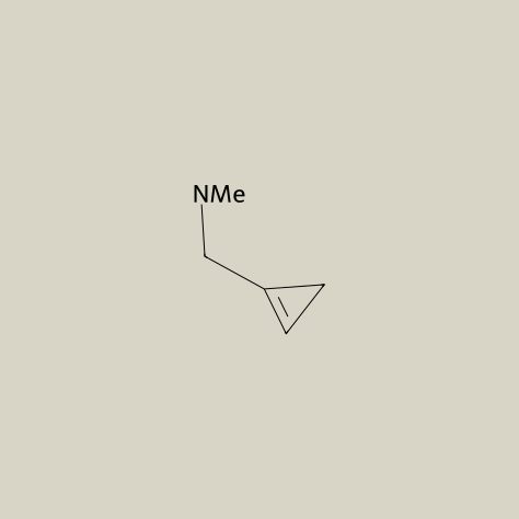 CNCC1=CC1